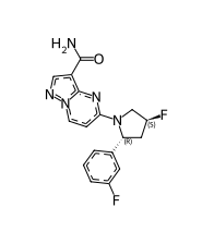 NC(=O)c1cnn2ccc(N3C[C@@H](F)C[C@@H]3c3cccc(F)c3)nc12